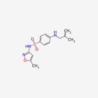 C=C(C)CNc1ccc(S(=O)(=O)Nc2cc(C)on2)cc1